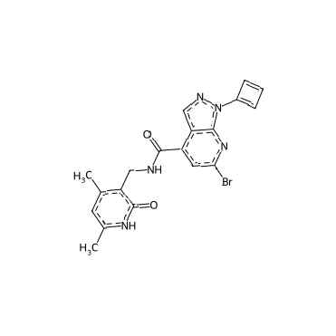 Cc1cc(C)c(CNC(=O)c2cc(Br)nc3c2cnn3C2=CC=C2)c(=O)[nH]1